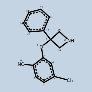 N#Cc1ccc(Cl)cc1OC1(c2ccccc2)CNC1